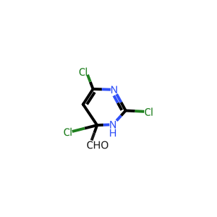 O=CC1(Cl)C=C(Cl)N=C(Cl)N1